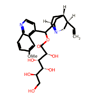 C=C[C@H]1C[N@]2CC[C@H]1C[C@@H]2C(OC(=O)[C@H](O)[C@@H](O)[C@H](O)[C@H](O)CO)c1ccnc2ccc(OC)cc12